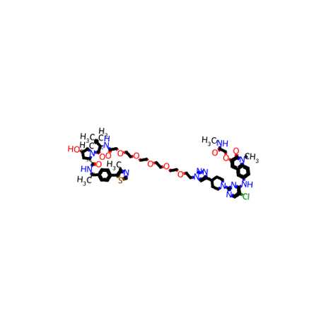 CNC(=O)COc1cc2cc(Nc3nc(N4CCC(c5cn(CCOCCOCCOCCOCCOCC(=O)N[C@H](C(=O)N6C[C@H](O)C[C@H]6C(=O)N[C@@H](C)c6ccc(-c7scnc7C)cc6)C(C)(C)C)nn5)CC4)ncc3Cl)ccc2n(C)c1=O